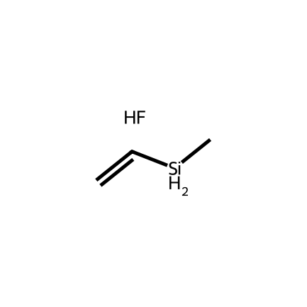 C=C[SiH2]C.F